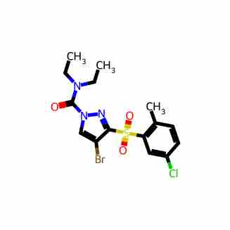 CCN(CC)C(=O)n1cc(Br)c(S(=O)(=O)c2cc(Cl)ccc2C)n1